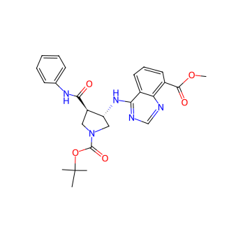 COC(=O)c1cccc2c(N[C@@H]3CN(C(=O)OC(C)(C)C)C[C@H]3C(=O)Nc3ccccc3)ncnc12